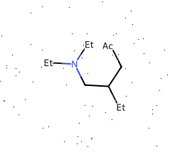 CCC(CC(C)=O)CN(CC)CC